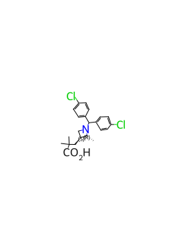 C[C@@H]1[C@@H](CC(C)(C)C(=O)O)CN1C(c1ccc(Cl)cc1)c1ccc(Cl)cc1